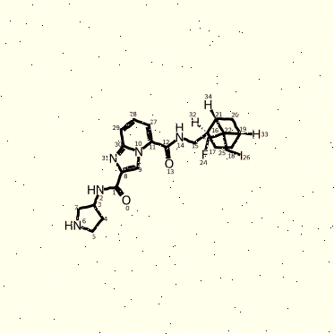 O=C(NC1CCNC1)c1cn2c(C(=O)NC[C@@H]3CC[C@H]4C[C@@H]3C4(CF)CI)cccc2n1